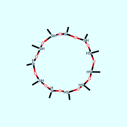 C[SiH]1O[SiH](C)O[SiH](C)O[SiH](C)O[SiH](C)O[SiH](C)O[SiH](C)O[SiH](C)O[SiH](C)O[SiH](C)O[SiH](C)O1